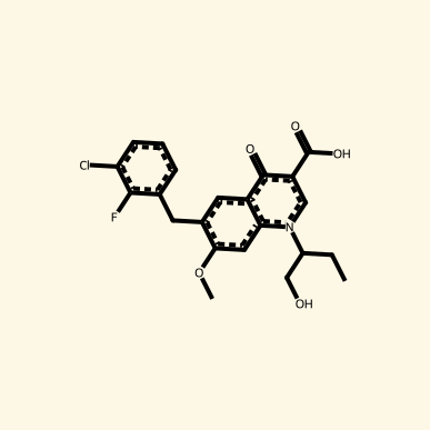 CCC(CO)n1cc(C(=O)O)c(=O)c2cc(Cc3cccc(Cl)c3F)c(OC)cc21